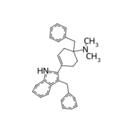 CN(C)C1(Cc2ccccc2)CC=C(c2[nH]c3ccccc3c2Cc2ccccc2)CC1